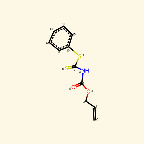 C=CCOC(=O)NC(=S)Sc1ccccc1